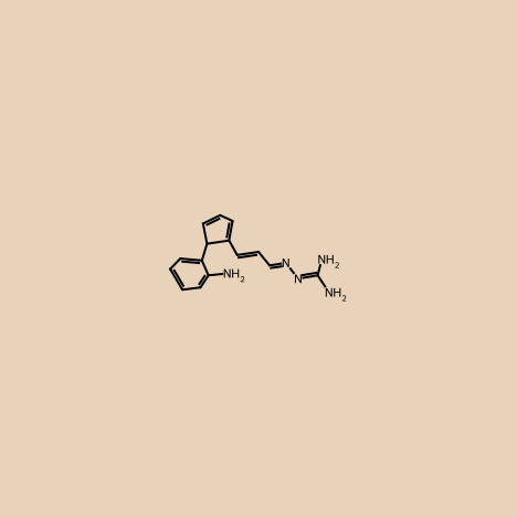 NC(N)=N/N=C/C=C/C1=CC=CC1c1ccccc1N